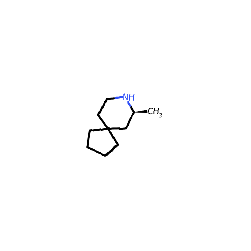 C[C@H]1CC2(CCCC2)CCN1